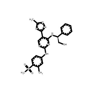 Cc1nc(-c2cnc(Nc3ccc(S(C)(=O)=O)c(C)c3)nc2N[C@H](CO)c2ccccc2)no1